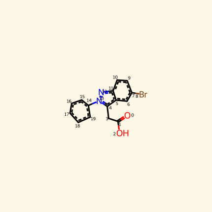 O=C(O)Cc1c2cc(Br)ccc2nn1-c1ccccc1